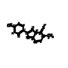 Cn1cnc2nc(-c3ccc(Cl)cn3)nn2c1=S